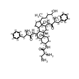 C[C@H](CCCO)C1CCC2C3[C@H](NC(=O)C(N)Cc4ccccc4)CC4C[C@H](NC(=O)[C@@H](N)CN)CCC4(C)[C@H]3CC(NC(=O)[C@@H](N)Cc3ccccc3)C21C